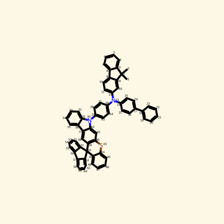 CC1(C)c2ccccc2-c2ccc(N(c3ccc(-c4ccccc4)cc3)c3ccc(-n4c5ccccc5c5cc6c(cc54)Sc4ccccc4C64c5ccccc5-c5ccccc54)cc3)cc21